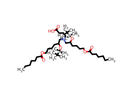 CCCCCCC(=O)OCCCCC(CN(CCCC(=O)O)CC(CCCCOC(=O)CCCCCC)O[Si](C)(C)C(C)(C)C)O[Si](C)(C)C(C)(C)C